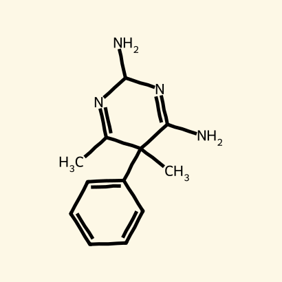 CC1=NC(N)N=C(N)C1(C)c1ccccc1